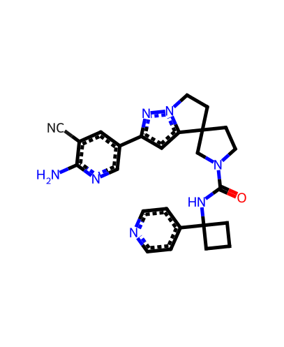 N#Cc1cc(-c2cc3n(n2)CCC32CCN(C(=O)NC3(c4ccncc4)CCC3)C2)cnc1N